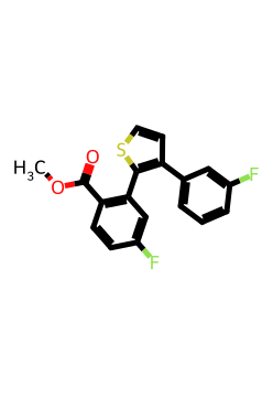 COC(=O)c1ccc(F)cc1-c1sccc1-c1cccc(F)c1